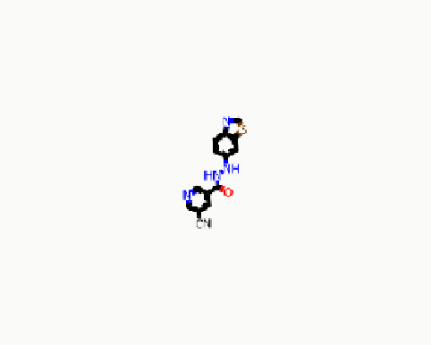 N#Cc1cncc(C(=O)NNc2ccc3ncsc3c2)c1